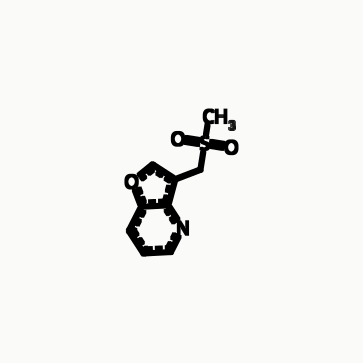 CS(=O)(=O)Cc1coc2cccnc12